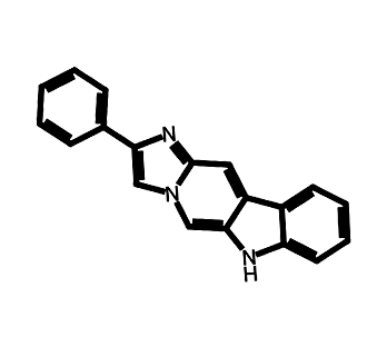 c1ccc(-c2cn3cc4[nH]c5ccccc5c4cc3n2)cc1